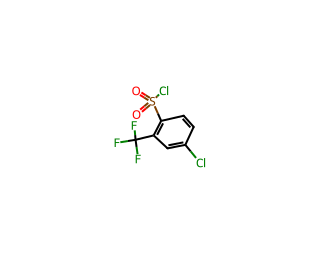 O=S(=O)(Cl)c1ccc(Cl)cc1C(F)(F)F